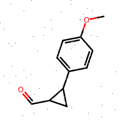 COc1ccc(C2CC2C=O)cc1